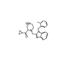 Cc1ccccc1Cn1c(CN2CCNCC2C(=O)C2CC2)nc2ccccc21